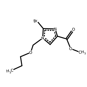 CCCOCn1cc(C(=O)OC)nc1Br